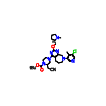 Cc1c(Cl)cncc1N1CCCc2c(nc(OC[C@@H]3CCCN3C)nc2N2CCN(C(=O)OC(C)(C)C)C(CC#N)C2)C1